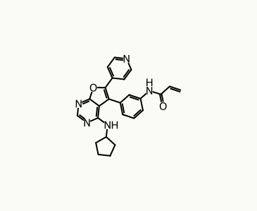 C=CC(=O)Nc1cccc(-c2c(-c3ccncc3)oc3ncnc(NC4CCCC4)c23)c1